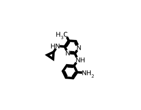 Cc1cnc(Nc2ccccc2N)nc1NC1CC1